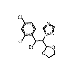 CCC(c1ccc(Cl)cc1Cl)C(C1OCCO1)n1cncn1